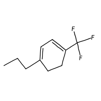 CCCC1=CC=C(C(F)(F)F)CC1